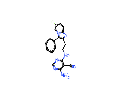 N#Cc1c(N)ncnc1NCCc1nc2ccc(F)cn2c1-c1ccccc1